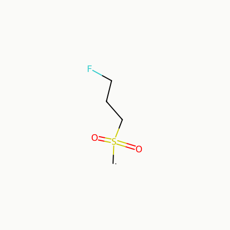 [CH2]S(=O)(=O)CCCF